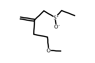 C=C(CCOC)C[S+]([O-])CC